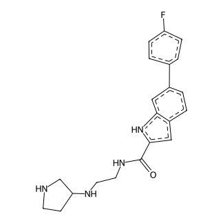 O=C(NCCNC1CCNC1)c1cc2ccc(-c3ccc(F)cc3)cc2[nH]1